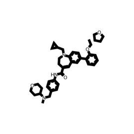 C1CCOC1.CCOc1ccccc1-c1ccc2c(c1)C=C(C(=O)Nc1ccc(CN(C)C3CCOCC3)cc1)CCN2CC1CC1